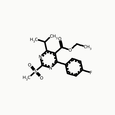 CCOC(=O)c1c(-c2ccc(F)cc2)nc(S(C)(=O)=O)nc1C(C)C